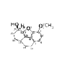 COc1ccc2c3c1O[C@H]1C3C(CC2)CC[C@H]1O